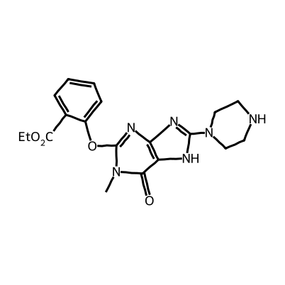 CCOC(=O)c1ccccc1Oc1nc2nc(N3CCNCC3)[nH]c2c(=O)n1C